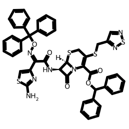 Nc1nc(/C(=N/OC(c2ccccc2)(c2ccccc2)c2ccccc2)C(=O)N[C@@H]2C(=O)N3C(C(=O)OC(c4ccccc4)c4ccccc4)=C(SCc4cnsn4)CS[C@H]23)cs1